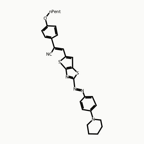 CCCCCOc1ccc(/C(C#N)=C/c2cc3sc(/N=N/c4ccc(N5CCCCC5)cc4)nc3s2)cc1